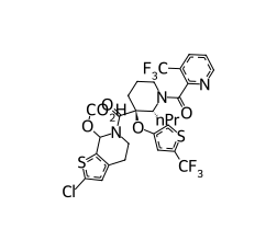 CCC[C@H]1N(C(=O)c2ncccc2C(F)(F)F)CCC[C@@]1(Oc1csc(C(F)(F)F)c1)C(=O)N1CCc2cc(Cl)sc2C1OC(=O)O